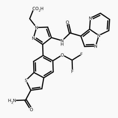 NC(=O)c1cc2cc(OC(F)F)c(-c3nn(CC(=O)O)cc3NC(=O)c3cnn4cccnc34)cc2s1